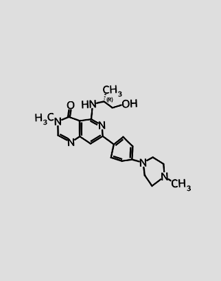 C[C@H](CO)Nc1nc(-c2ccc(N3CCN(C)CC3)cc2)cc2ncn(C)c(=O)c12